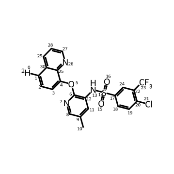 [2H]c1ccc(Oc2ncc(C)cc2NS(=O)(=O)c2ccc(Cl)c(C(F)(F)F)c2)c2ncccc12